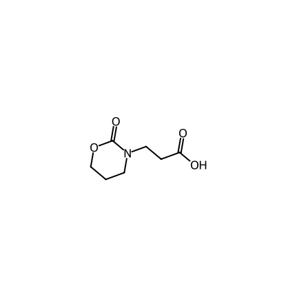 O=C(O)CCN1CCCOC1=O